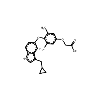 Cc1cc(OCC(=O)O)cc(C)c1Oc1ccc2[nH]cc(CC3CC3)c2c1